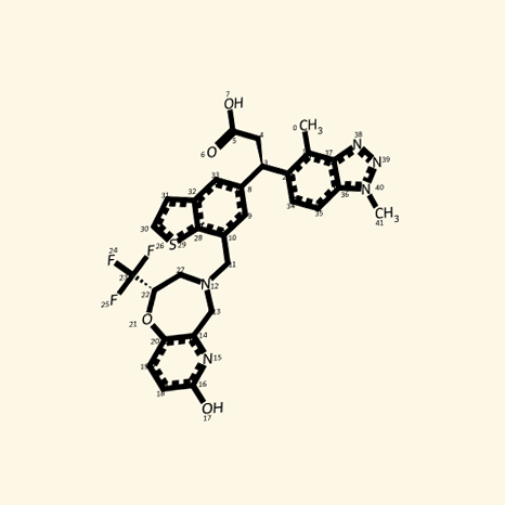 Cc1c([C@H](CC(=O)O)c2cc(CN3Cc4nc(O)ccc4O[C@H](C(F)(F)F)C3)c3sccc3c2)ccc2c1nnn2C